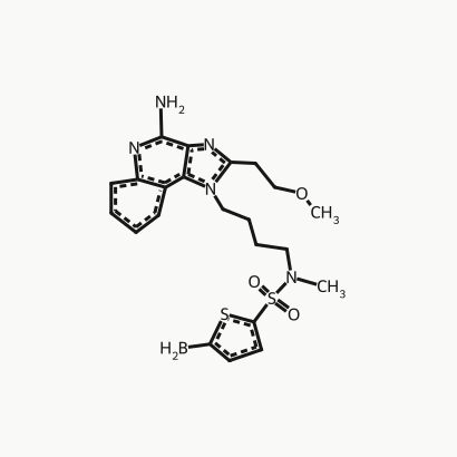 Bc1ccc(S(=O)(=O)N(C)CCCCn2c(CCOC)nc3c(N)nc4ccccc4c32)s1